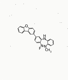 Cn1c2ccccc2[nH]c2cc(-c3ccc4oc5ccccc5c4c3)ccc2n1F